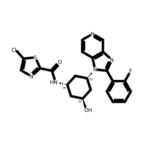 O=C(N[C@H]1C[C@H](O)C[C@@H](n2c(-c3ccccc3F)nc3cnccc32)C1)c1ncc(Cl)s1